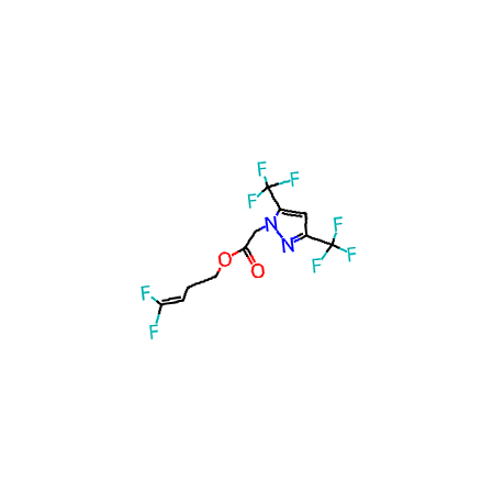 O=C(Cn1nc(C(F)(F)F)cc1C(F)(F)F)OCCC=C(F)F